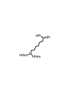 CCCCCCN(CCCCCC)CCCCCCN(CCC)CCC